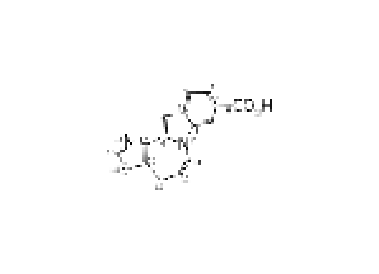 O=C(O)c1ccc2cc3n(c2c1)C=CCc1scnc1-3